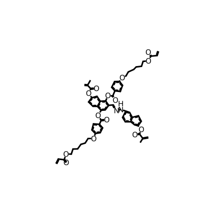 C=CC(=O)OCCCCCCOc1ccc(C(=O)Oc2cc(/C=N/Nc3ccc4cc(OC(=O)C(=C)C)ccc4c3)c(OC(=O)c3ccc(OCCCCCCOC(=O)C=C)cc3)c3cc(OC(=O)C(=C)C)ccc23)cc1